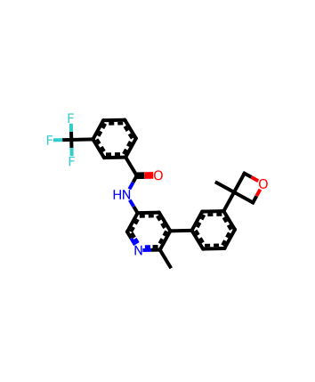 Cc1ncc(NC(=O)c2cccc(C(F)(F)F)c2)cc1-c1cccc(C2(C)COC2)c1